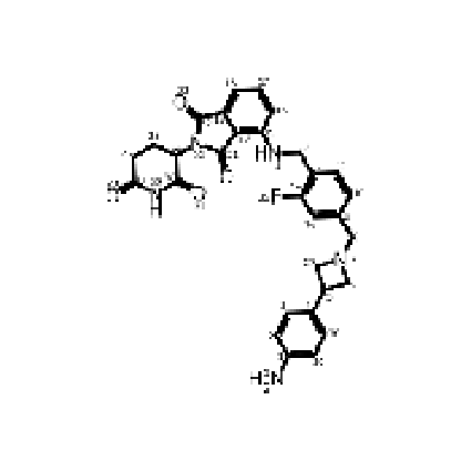 Nc1ccc(C2CN(Cc3ccc(CNc4cccc5c4C(=O)N(C4CCC(=O)NC4=O)C5=O)c(F)c3)C2)cc1